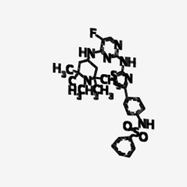 CN1C(C)(C)CC(Nc2nc(Nc3nc(-c4ccc(NS(=O)(=O)c5ccccc5)cc4)cs3)ncc2F)CC1(C)C